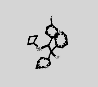 OC(c1cccnc1)(c1cccnc1)C(NC1CCC1)c1ccc(F)cc1